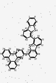 c1ccc2c(c1)sc1c(-c3cccc4c3sc3c(-c5cnc6c7ccccc7c7ccccc7c6n5)cccc34)cccc12